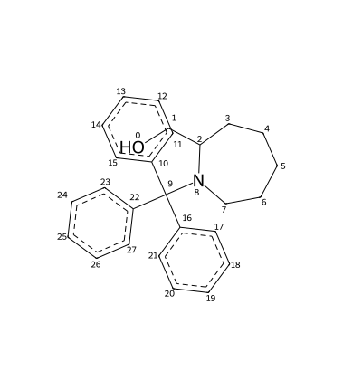 OCC1CCCCCN1C(c1ccccc1)(c1ccccc1)c1ccccc1